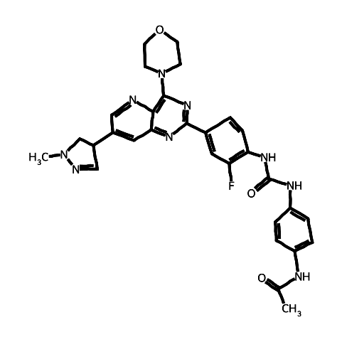 CC(=O)Nc1ccc(NC(=O)Nc2ccc(-c3nc(N4CCOCC4)c4ncc(C5C=NN(C)C5)cc4n3)cc2F)cc1